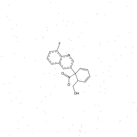 O=[N+]([O-])C1(c2cnc3c(F)cccc3c2)C=CC=CC1CO